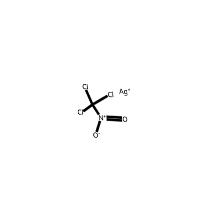 O=[N+]([O-])C(Cl)(Cl)Cl.[Ag+]